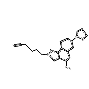 N#CCCCCn1cc2c(N)nc3cc(-n4cccn4)ccc3c2n1